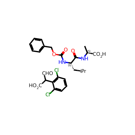 CC(C)C[C@H](NC(=O)OCc1ccccc1)C(=O)N[C@@H](C)C(=O)O.O=CC(C(=O)O)c1c(Cl)cccc1Cl